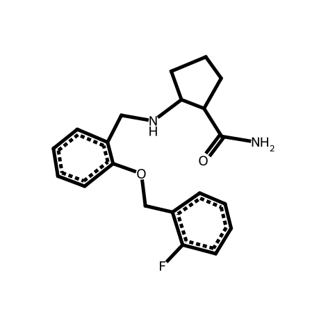 NC(=O)C1CCCC1NCc1ccccc1OCc1ccccc1F